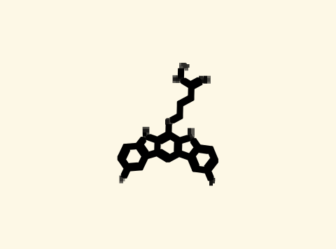 CC(C)NC(=N)CCCOc1c2[nH]c3ccc(F)cc3c2cc2c1[nH]c1ccc(F)cc12